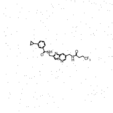 O=C(CCC(F)(F)F)NCc1cnn2cc(CNC(=O)c3cccc(C4CC4)c3)nc2c1